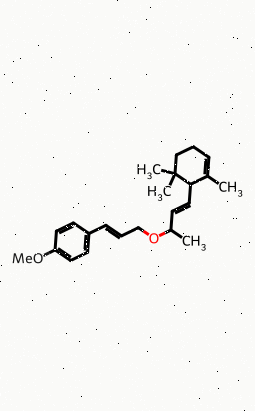 COc1ccc(/C=C/COC(C)/C=C/C2C(C)=CCCC2(C)C)cc1